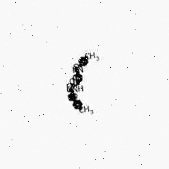 Cc1ccc(-c2ccc(C(=O)N[C@H](Cc3ccc(-c4noc(-c5ccc(C)cc5)n4)cn3)C(=O)O)o2)cc1